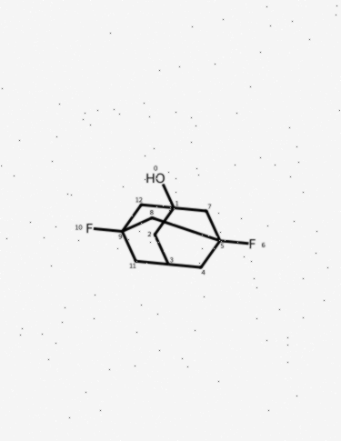 OC12CC3CC(F)(C1)CC(F)(C3)C2